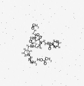 CC(=O)O.COCCC(=O)N[C@@H](CC(=O)NC[C@@H]1CCCN(C=NN)C1)C(=O)N(CCNC(=O)c1cnccn1)C1CC1